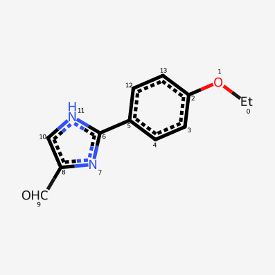 CCOc1ccc(-c2nc(C=O)c[nH]2)cc1